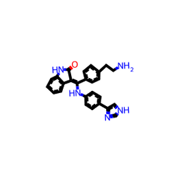 NCCc1ccc(C(Nc2ccc(-c3c[nH]cn3)cc2)=C2C(=O)Nc3ccccc32)cc1